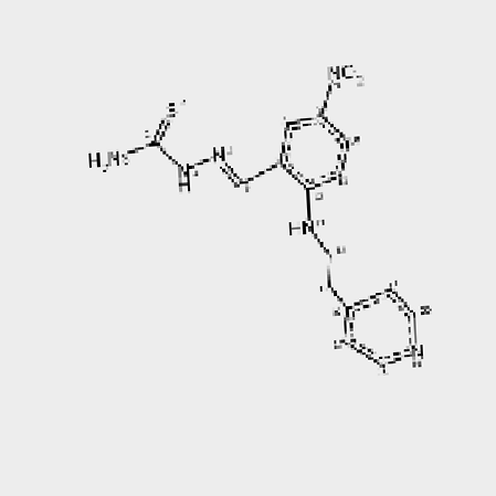 NC(=S)NN=Cc1cc([N+](=O)[O-])ccc1NCCc1ccncc1